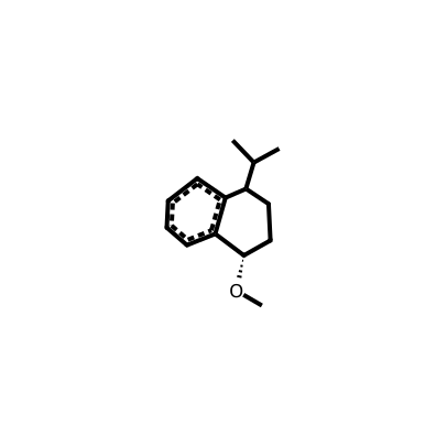 CO[C@H]1CCC(C(C)C)c2ccccc21